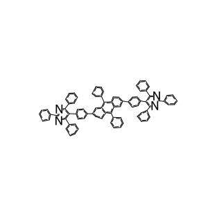 c1ccc(-c2nc(-c3ccccc3)c(-c3ccc(-c4ccc5c(-c6ccccc6)c6cc(-c7ccc(-c8c(-c9ccccc9)nc(-c9ccccc9)nc8-c8ccccc8)cc7)ccc6c(-c6ccccc6)c5c4)cc3)c(-c3ccccc3)n2)cc1